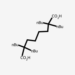 CCCCC(CCCC)(CCCCC(CCCC)(CCCC)C(=O)O)C(=O)O